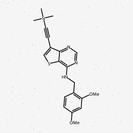 COc1ccc(CNc2ncnc3c(C#C[Si](C)(C)C)csc23)c(OC)c1